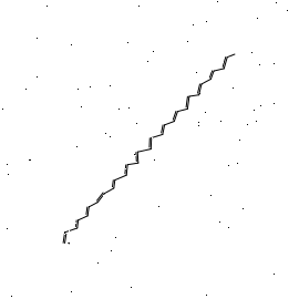 [CH]=CC=CC=CC=CC=CC=CC=CC=CC=CC=CC=CC=CC=CC=CC